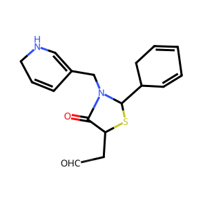 O=CCC1SC(C2C=CC=CC2)N(CC2=CNCC=C2)C1=O